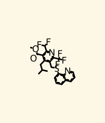 COC(=O)c1c(C(F)F)nc(C(F)(F)F)c(CSc2cccc3cccnc23)c1CC(C)C